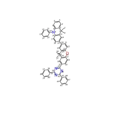 CC1(C)c2ccccc2N(c2ccccc2)c2ccc(-c3ccc4c(c3)[Si](C)(C)c3cc(-c5nc(-c6ccccc6)nc(-c6ccccc6)n5)ccc3O4)cc21